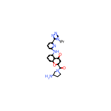 CC(C)n1cnnc1-c1cccc(Nc2cccc3oc(C(=O)N4CCC(N)C4)cc(=O)c23)n1